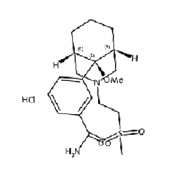 CO[C@]1(c2cccc(C(N)=O)c2)[C@@H]2CCC[C@H]1CN(CCS(C)(=O)=O)C2.Cl